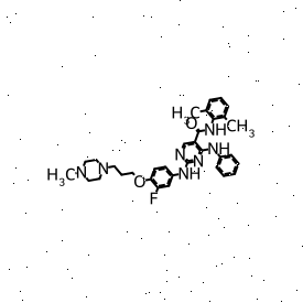 Cc1cccc(C)c1NC(=O)c1cnc(Nc2ccc(OCCCN3CCN(C)CC3)c(F)c2)nc1Nc1ccccc1